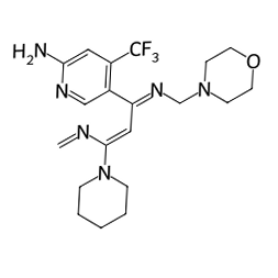 C=N/C(=C\C(=N/CN1CCOCC1)c1cnc(N)cc1C(F)(F)F)N1CCCCC1